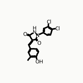 Cc1cc(C=C2C(=O)NN(c3ccc(Cl)c(Cl)c3)C2=O)ccc1O